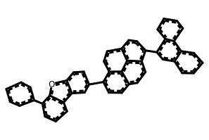 c1ccc(-c2cccc3c2oc2ccc(-c4ccc5ccc6c(-c7cc8ccccc8c8ccccc78)ccc7ccc4c5c76)cc23)cc1